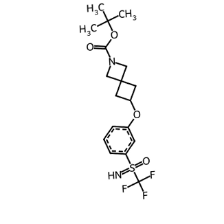 CC(C)(C)OC(=O)N1CC2(CC(Oc3cccc(S(=N)(=O)C(F)(F)F)c3)C2)C1